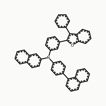 c1ccc(-c2c(-c3cccc(N(c4ccc(-c5cccc6ccccc56)cc4)c4ccc5ccccc5c4)c3)oc3ccccc23)cc1